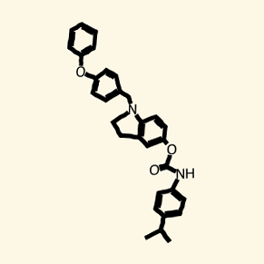 CC(C)c1ccc(NC(=O)Oc2ccc3c(c2)CCN3Cc2ccc(Oc3ccccc3)cc2)cc1